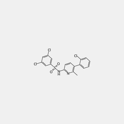 Cc1nc(NS(=O)(=O)c2cc(Cl)cc(Cl)c2)ccc1-c1ccccc1Cl